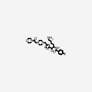 NCCCCC(NC(=O)c1ccc(F)cc1)C(=O)c1noc(CN2CCN(CC(=O)N3CCOCC3)CC2)n1